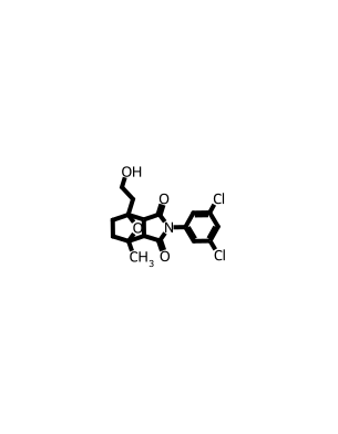 CC12CCC(CCO)(O1)C1C(=O)N(c3cc(Cl)cc(Cl)c3)C(=O)C12